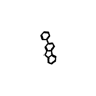 [CH]1c2ccccc2-c2ccc(-c3ccccc3)cc21